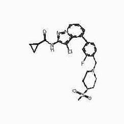 CS(=O)(=O)C1CCN(Cc2ccc(-c3cccn4nc(NC(=O)C5CC5)c(Cl)c34)cc2F)CC1